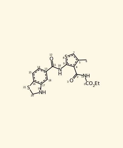 CCOC(=O)NC(=O)c1c(C)csc1NC(=O)c1ccc2c(c1)NCS2